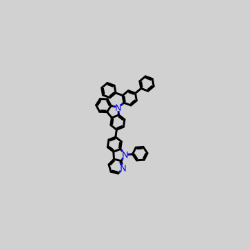 c1ccc(-c2ccc(-n3c4ccccc4c4cc(-c5ccc6c7cccnc7n(-c7ccccc7)c6c5)ccc43)c(-c3ccccc3)c2)cc1